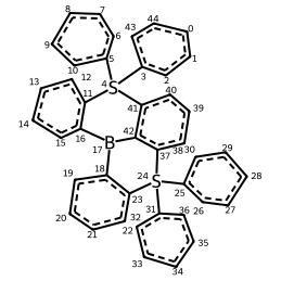 c1ccc(S2(c3ccccc3)c3ccccc3B3c4ccccc4S(c4ccccc4)(c4ccccc4)c4cccc2c43)cc1